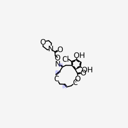 O=C1OCC/C=C/CC/C=C/C(=N/OCC(=O)N2CCOCC2)Cc2c(Cl)c(O)cc(O)c21